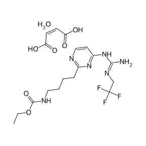 CCOC(=O)NCCCCc1nccc(NC(N)=NCC(F)(F)F)n1.O.O=C(O)/C=C\C(=O)O